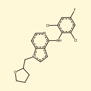 Fc1cc(Cl)c(Nc2nccc3c2ccn3CC2CCCO2)c(Cl)c1